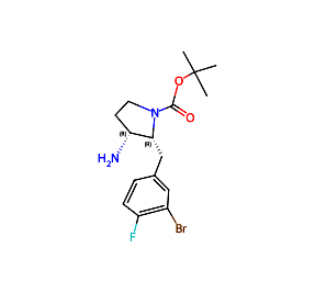 CC(C)(C)OC(=O)N1CC[C@@H](N)[C@H]1Cc1ccc(F)c(Br)c1